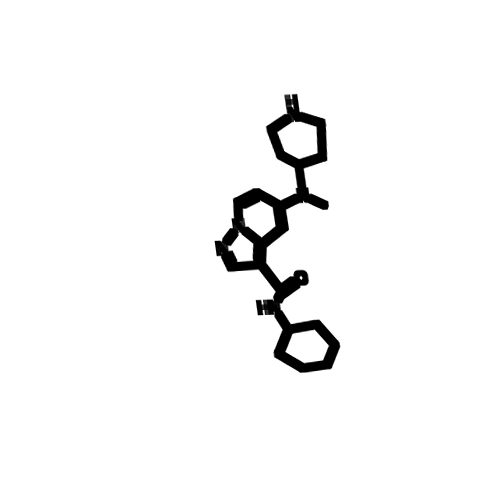 CN(c1ccn2ncc(C(=O)NC3CCCCC3)c2c1)C1CCNCC1